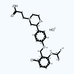 Cl.O=C(O)CCN1CCOC(c2ccc(OCc3c(Cl)cccc3OC(F)F)cc2)C1